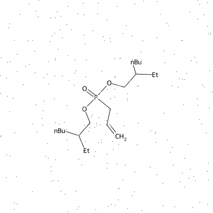 C=CCP(=O)(OCC(CC)CCCC)OCC(CC)CCCC